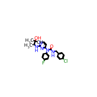 C[C@H](Nc1nccc(N(C(=O)NCc2ccc(Cl)cc2)c2ccc(F)cc2)n1)C(C)(C)O